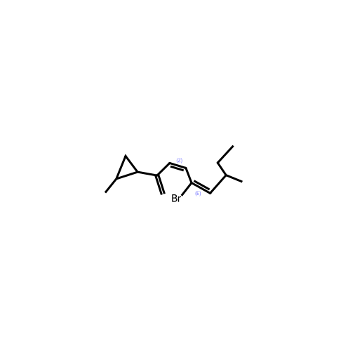 C=C(/C=C\C(Br)=C/C(C)CC)C1CC1C